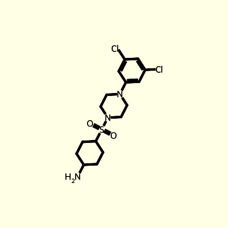 NC1CCC(S(=O)(=O)N2CCN(c3cc(Cl)cc(Cl)c3)CC2)CC1